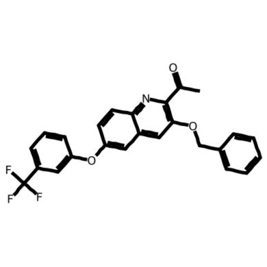 CC(=O)c1nc2ccc(Oc3cccc(C(F)(F)F)c3)cc2cc1OCc1ccccc1